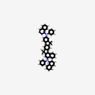 CC1(C)c2cc(N(C3=c4ccccc4=CCC3)c3ccccc3)ccc2-c2cc3c(cc21)-c1c(cc(N(c2ccccc2)c2cccc4ccccc24)c2ccccc12)C3(C)C